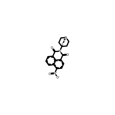 O=C1c2cccc3c([N+](=O)[O-])ccc(c23)C(=O)N1C12CCN(CC1)CC2